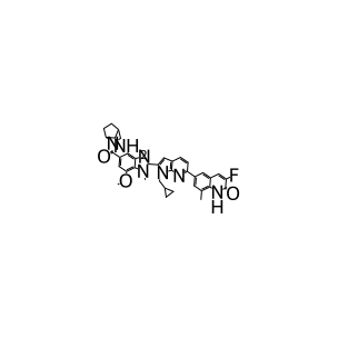 COc1cc(C(=O)N2CC3CCC2C3N)cc2nc(-c3cc4ccc(-c5cc(C)c6[nH]c(=O)c(F)cc6c5)nc4n3CC3CC3)n(C)c12